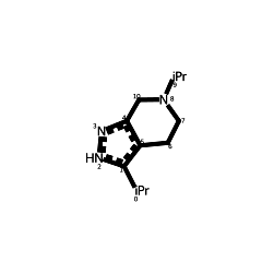 CC(C)c1[nH]nc2c1CCN(C(C)C)C2